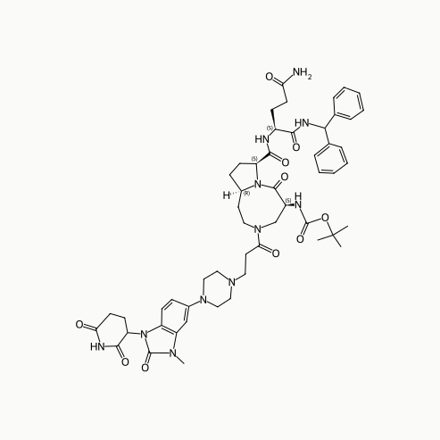 Cn1c(=O)n(C2CCC(=O)NC2=O)c2ccc(N3CCN(CCC(=O)N4CC[C@H]5CC[C@@H](C(=O)N[C@@H](CCC(N)=O)C(=O)NC(c6ccccc6)c6ccccc6)N5C(=O)[C@@H](NC(=O)OC(C)(C)C)C4)CC3)cc21